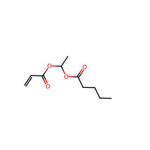 C=CC(=O)OC(C)OC(=O)CCCC